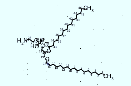 CCCCCCCCCCCCCCCC/C=C\OC[C@H](COP(=O)(O)OCCN)OC(=O)CCCCCCCCCCCCCCC